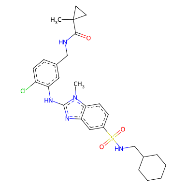 Cn1c(Nc2cc(CNC(=O)C3(C)CC3)ccc2Cl)nc2cc(S(=O)(=O)NCC3CCCCC3)ccc21